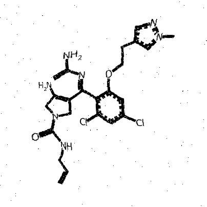 C=CCNC(=O)N1CC(N)=C(/C(=N\C(=C)N)c2c(Cl)cc(Cl)cc2OCCc2cnn(C)c2)C1